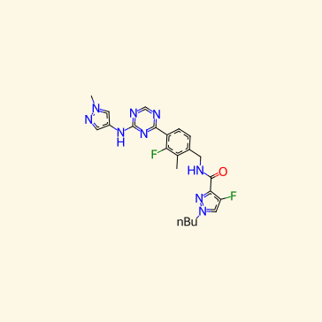 CCCCn1cc(F)c(C(=O)NCc2ccc(-c3ncnc(Nc4cnn(C)c4)n3)c(F)c2C)n1